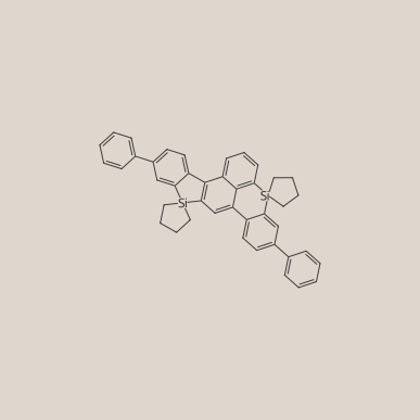 c1ccc(-c2ccc3c(c2)[Si]2(CCCC2)c2cc4c5c(cccc5c2-3)[Si]2(CCCC2)c2cc(-c3ccccc3)ccc2-4)cc1